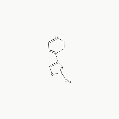 Cc1cc(-c2ccncc2)co1